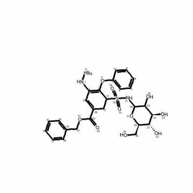 CCCCNC1=C(Oc2ccccc2)C(S(=O)(=O)NC2O[C@H](CO)[C@@H](O)[C@H](O)C2O)CC(C(=O)OCc2ccccc2)=C1